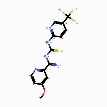 COc1ccnc(C(=N)NC(=S)Nc2[c]cc(C(F)(F)F)cn2)c1